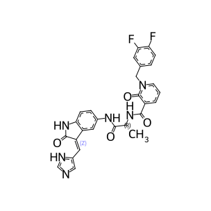 C[C@@H](NC(=O)c1cccn(Cc2ccc(F)c(F)c2)c1=O)C(=O)Nc1ccc2c(c1)/C(=C/c1cnc[nH]1)C(=O)N2